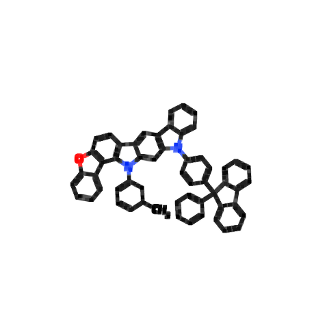 CC1C=CC=C(n2c3cc4c(cc3c3ccc5oc6ccccc6c5c32)c2ccccc2n4-c2ccc(C3(c4ccccc4)c4ccccc4-c4ccccc43)cc2)C1